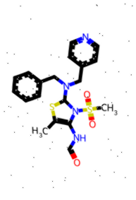 CC1=C(NC=O)N(S(C)(=O)=O)C(N(Cc2ccccc2)Cc2ccncc2)S1